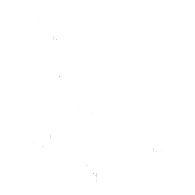 CCOC(=N)c1ccc2[nH]nc(-c3ccc4cc(C(=O)NCCN5CCCC5)ccc4c3)c2c1.Cl.Cl